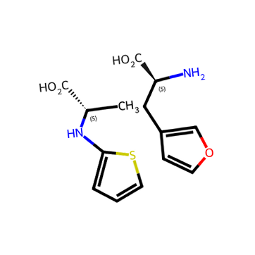 C[C@H](Nc1cccs1)C(=O)O.N[C@@H](Cc1ccoc1)C(=O)O